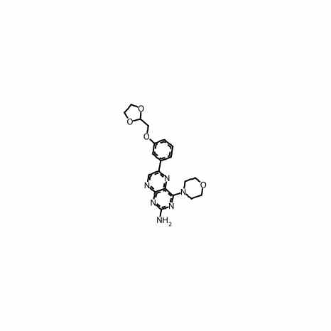 Nc1nc(N2CCOCC2)c2nc(-c3cccc(OCC4OCCO4)c3)cnc2n1